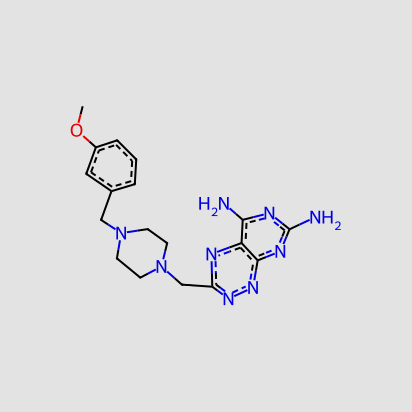 COc1cccc(CN2CCN(Cc3nnc4nc(N)nc(N)c4n3)CC2)c1